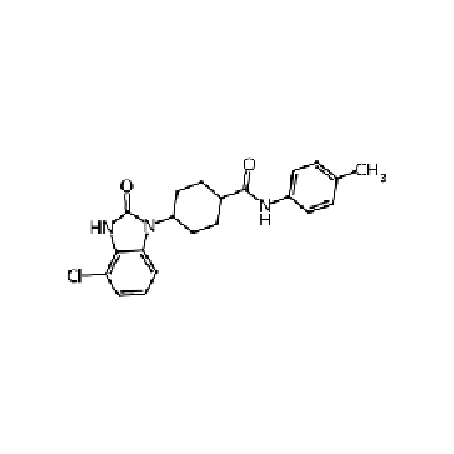 Cc1ccc(NC(=O)C2CCC(n3c(=O)[nH]c4c(Cl)cccc43)CC2)cc1